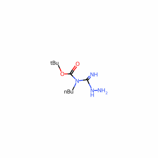 CCCCN(C(=N)NN)C(=O)OC(C)(C)C